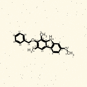 COc1ccc2c(c1)[nH]c1c(C)c(OCc3ccccc3)c(C)cc12